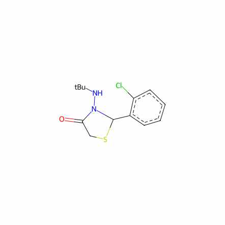 CC(C)(C)NN1C(=O)CSC1c1ccccc1Cl